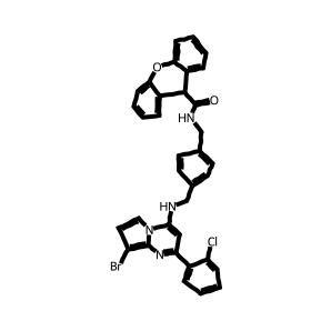 O=C(NCc1ccc(CNc2cc(-c3ccccc3Cl)nc3c(Br)ccn23)cc1)C1c2ccccc2Oc2ccccc21